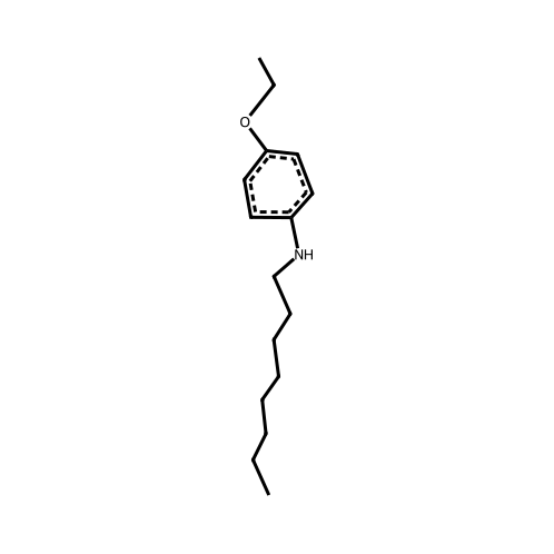 CCCCCCCCNc1ccc(OCC)cc1